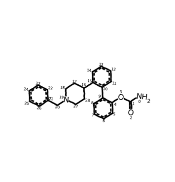 NC(=O)Oc1ccccc1-c1ccccc1C1CCN(Cc2ccccc2)CC1